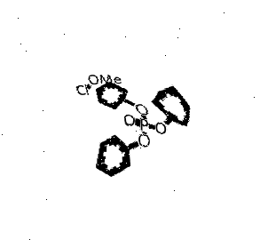 COCl.O=P(Oc1ccccc1)(Oc1ccccc1)Oc1ccccc1